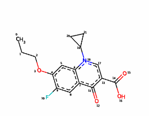 CCCOc1cc2c(cc1F)c(=O)c(C(=O)O)cn2C1CC1